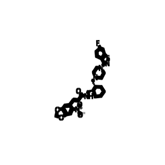 O=C(/C=C/c1cc2c(cc1[N+](=O)[O-])OCO2)NC[C@@H]1CCCC[C@H]1CN1CCN(c2nsc3cc(F)ccc23)CC1